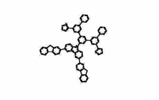 c1ccc(-c2cc(-c3cc(-c4cc(-c5ccccc5)cc(-c5cccs5)c4)cc(-n4c5ccc(-c6ccc7c(c6)Cc6ccccc6-7)cc5c5cc(-c6ccc7c(c6)Cc6ccccc6-7)ccc54)c3)cc(-c3cccs3)c2)cc1